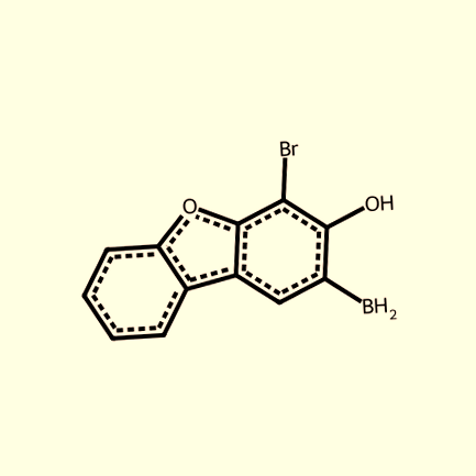 Bc1cc2c(oc3ccccc32)c(Br)c1O